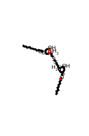 CCCCCCCCCCCOCOC1CCC(O)[SiH2]N(CCCSSSSCCCN2CCC(OCOCCCCCCCCCCC)CCC(O)[SiH2]2)CC1